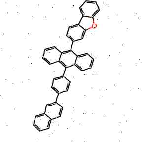 c1ccc2cc(-c3ccc(-c4c5ccccc5c(-c5ccc6c(c5)oc5ccccc56)c5ccccc45)cc3)ccc2c1